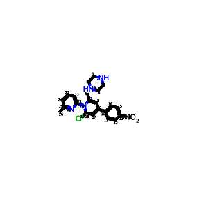 C1CNCCN1.CC1=CC(c2ccc([N+](=O)[O-])cc2)=CC(Cl)N1c1cccc(C)n1